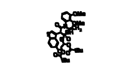 C=CN(C(=O)C(c1csc2ccc(Cl)cc12)P(=O)(O)OC(COC(=O)C(C)(C)C)OC(=O)C(C)(C)C)c1cccc(OC)c1OC